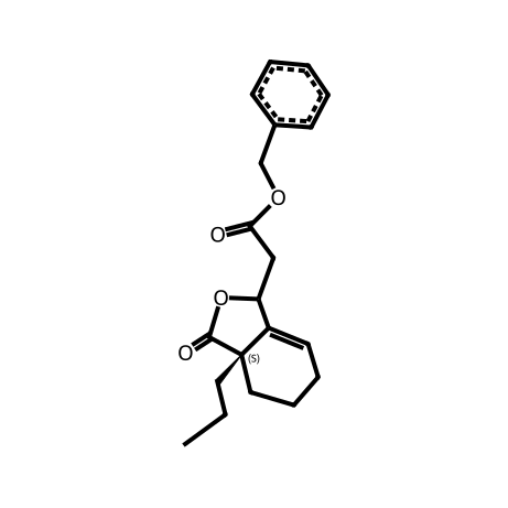 CCC[C@]12CCCC=C1C(CC(=O)OCc1ccccc1)OC2=O